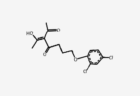 CC(=O)/C(C(=O)CCCOc1ccc(Cl)cc1Cl)=C(/C)O